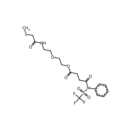 CSCC(=O)NCCOCCOC(=O)CCC(=O)N(c1ccccc1)S(=O)(=O)C(F)(F)F